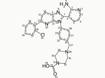 Nc1ncccc1-c1nc2ccc(-c3ccccc3Cl)nc2n1-c1ccc(CN2CCN(C(=O)O)CC2)cc1